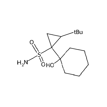 CC(C)(C)C1CC1(C1(O)CCCCC1)S(N)(=O)=O